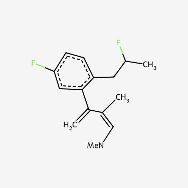 C=C(/C(C)=C\NC)c1cc(F)ccc1CC(C)F